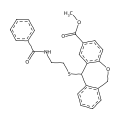 COC(=O)c1ccc2c(c1)C(SCCNC(=O)c1ccccc1)c1ccccc1CO2